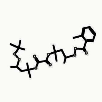 Cc1ccccc1C(=O)OOC(C)CC(C)(C)OC(=O)C(=O)OC(C)(C)CC(C)OOC(C)(C)C